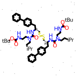 CC(C)CCN(CCNC(=O)OC(C)(C)C)C(=O)N[C@@H](CSSC[C@@H](Cc1ccc(-c2ccccc2)cc1)NC(=O)N(CCNC(=O)OC(C)(C)C)CCC(C)C)Cc1ccc(-c2ccccc2)cc1